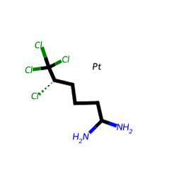 NC(N)CCC[C@H](Cl)C(Cl)(Cl)Cl.[Pt]